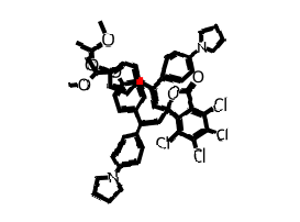 COC(C)Oc1ccc(C(=CC2(C=C(c3ccc(OC(C)OC)cc3)c3ccc(N4CCCC4)cc3)OC(=O)c3c(Cl)c(Cl)c(Cl)c(Cl)c32)c2ccc(N3CCCC3)cc2)cc1